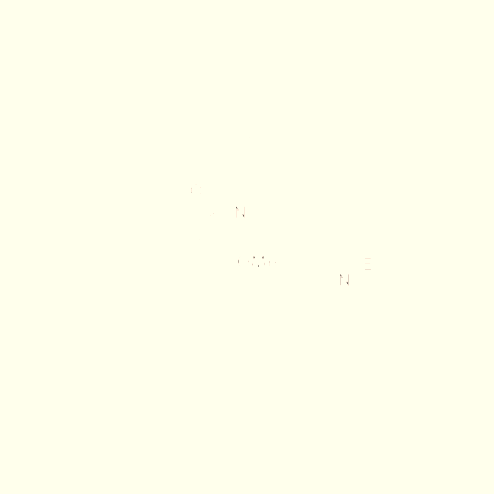 CC[N+](CC)(CCCCN(Cc1ccc2ccccc2c1)C(=O)c1c(OC)ccc2ccccc12)Cc1cc(C)cc(C)c1